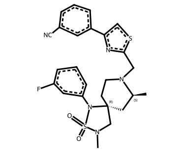 C[C@H]1C[C@]2(CCN1Cc1nc(-c3cccc(C#N)c3)cs1)CN(C)S(=O)(=O)N2c1cccc(F)c1